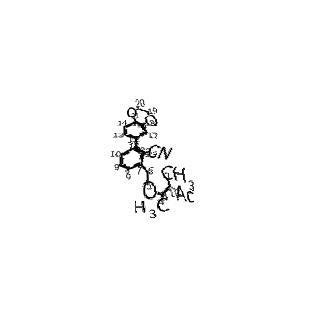 CC(=O)[C@@H](C)C(C)OCc1cccc(-c2ccc3c(c2)OCCO3)c1C#N